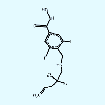 C=CCC(CC)(CC)CNCc1c(F)cc(C(=O)NO)cc1F